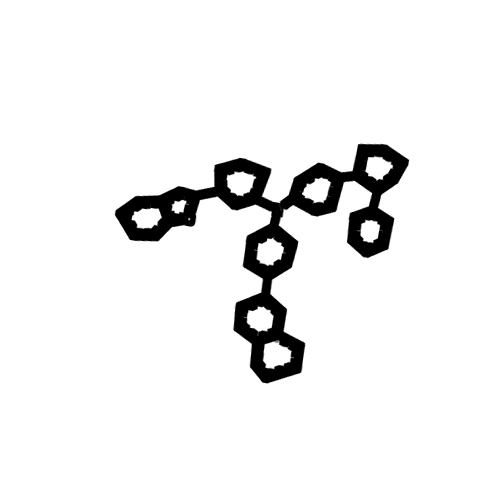 c1ccc(-c2ccccc2-c2ccc(N(c3ccc(-c4ccc5ccccc5c4)cc3)c3cccc(-c4cc5ccccc5o4)c3)cc2)cc1